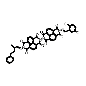 CC(C=NN1C(=O)c2ccc3c4c(ccc(c24)C1=O)C(=O)N(N1C(=O)c2ccc4c5c(ccc(c25)C1=O)C(=O)N(N=Cc1cc(Cl)ccc1Cl)C4=O)C3=O)CCc1ccccc1